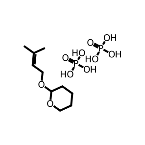 CC(C)=CCOC1CCCCO1.O=P(O)(O)O.O=P(O)(O)O